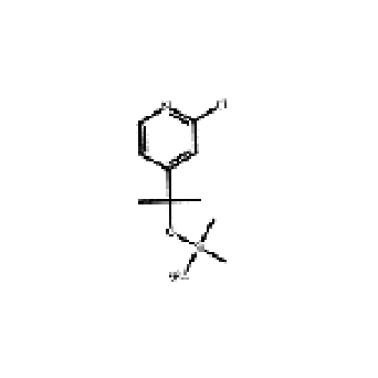 CC(C)(O[Si](C)(C)C(C)(C)C)c1ccnc(Cl)c1